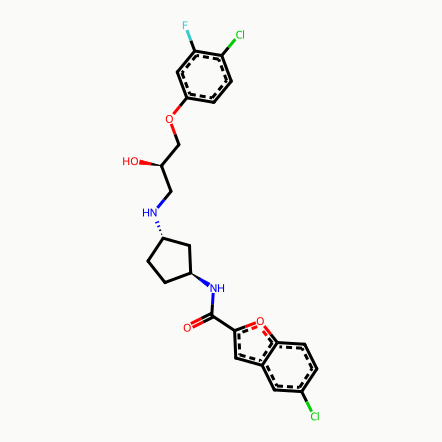 O=C(N[C@H]1CC[C@H](NC[C@@H](O)COc2ccc(Cl)c(F)c2)C1)c1cc2cc(Cl)ccc2o1